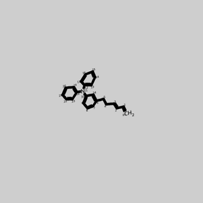 C=C/C=C/CCc1cccc(N(c2ccccc2)c2ccccc2)c1